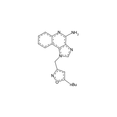 CCCCc1cc(Cn2cnc3c(N)nc4ccccc4c32)no1